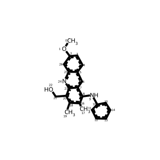 COc1ccc2cc3c(Nc4ccccc4)c(C)c(C)c(CO)c3nc2c1